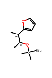 C[C@H](O[Si](C)(C)C(C)(C)C)[C@@H](C)c1ccco1